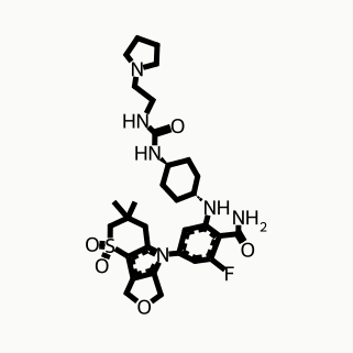 CC1(C)Cc2c(c3c(n2-c2cc(F)c(C(N)=O)c(N[C@H]4CC[C@H](NC(=O)NCCN5CCCC5)CC4)c2)COC3)S(=O)(=O)C1